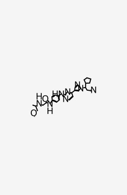 COCC(C)NCC(=O)Nc1ccc(Nc2nccc(-c3cnn(C(CC#N)C4CCCC4)c3)n2)cc1